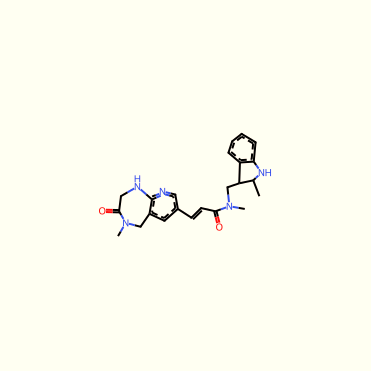 CC1Nc2ccccc2C1CN(C)C(=O)/C=C/c1cnc2c(c1)CN(C)C(=O)CN2